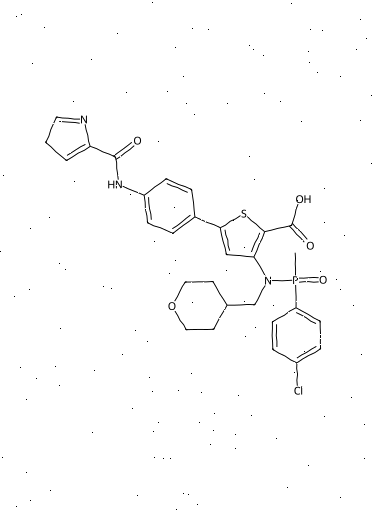 CP(=O)(c1ccc(Cl)cc1)N(CC1CCOCC1)c1cc(-c2ccc(NC(=O)C3=CCC=N3)cc2)sc1C(=O)O